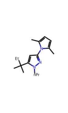 CCCn1nc(-n2c(C)ccc2C)cc1C(C)(C)CC